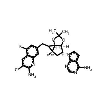 CC1(C)O[C@H]2[C@H](n3ccc4c(N)ncnc43)C[C@]3(F)C(Cc4cc(F)c5cc(Cl)c(N)nc5c4)[C@]23O1